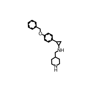 c1ccc(COc2ccc(C3CC3NCC3CCNCC3)cc2)cc1